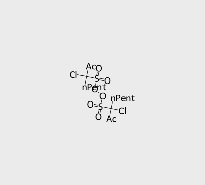 CCCCCC(Cl)(C(C)=O)S(=O)(=O)OOS(=O)(=O)C(Cl)(CCCCC)C(C)=O